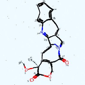 CC[C@@]1(OC(C)C)C(=O)OCc2c1cc1n(c2=O)Cc2cc3ccccc3nc2-1